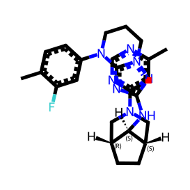 Cc1cc(N2C[C@H]3CC[C@@H](C2)[C@@H]3Nc2nc3n(n2)CCCN3c2ccc(C)c(F)c2)ncn1